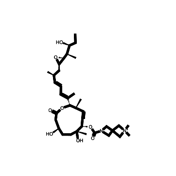 CC[C@H](O)[C@@H](C)[C@H]1O[C@@H]1C[C@H](C)/C=C/C=C(\C)[C@H]1OC(=O)C[C@H](O)CC[C@@](C)(O)[C@@H](OC(=O)N2CC3(C2)C[N+](C)(C)C3)/C=C/[C@@H]1C